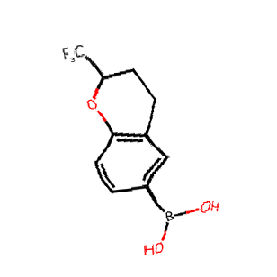 OB(O)c1ccc2c(c1)CCC(C(F)(F)F)O2